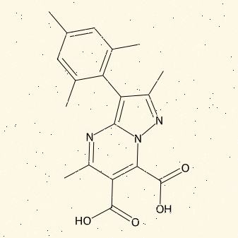 Cc1cc(C)c(-c2c(C)nn3c(C(=O)O)c(C(=O)O)c(C)nc23)c(C)c1